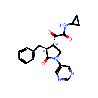 O=C(NC1CC1)C(=O)[C@@H]1CN(c2cncnc2)C(=O)[C@H]1Cc1ccccc1